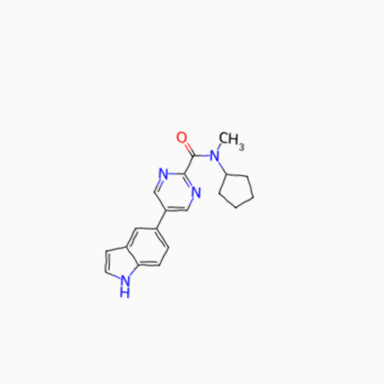 CN(C(=O)c1ncc(-c2ccc3[nH]ccc3c2)cn1)C1CCCC1